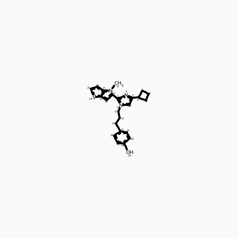 Cn1c(-c2nc(C3CCC3)cn2CCCc2ccc(O)cc2)cc2sccc21